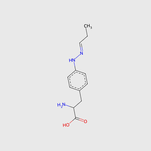 CC/C=N/Nc1ccc(CC(N)C(=O)O)cc1